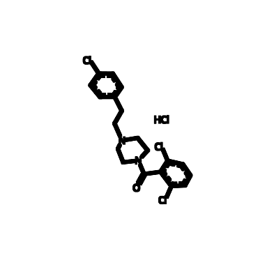 Cl.O=C(c1c(Cl)cccc1Cl)N1CCN(CCc2ccc(Cl)cc2)CC1